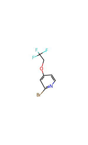 FC(F)(F)COc1ccnc(Br)c1